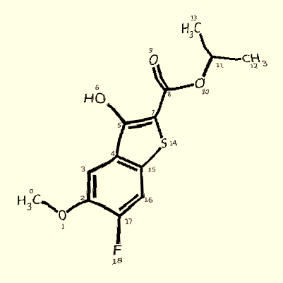 COc1cc2c(O)c(C(=O)OC(C)C)sc2cc1F